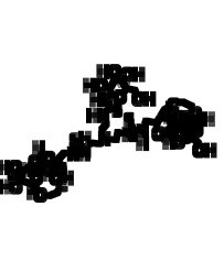 OCC1O[C@@H]2OCCCCC3C(CNC(=S)NCCN(CCNC(=S)NCC4O[C@@H]5OC6C(CO)O[C@H](OCCCCC4[C@@H](O)C5O)C(O)[C@@H]6O)CCNC(=S)N[C@H]4OC(CO)[C@@H](O)[C@H](O)C4O)O[C@H](OC1[C@@H](O)C2O)C(O)[C@@H]3O